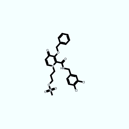 CS(=O)(=O)OCCCn1ccc(=O)c(OCc2ccccc2)c1C(=O)NCc1ccc(Cl)c(Cl)c1